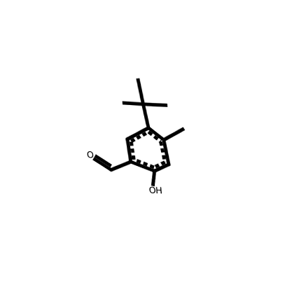 Cc1cc(O)c(C=O)cc1C(C)(C)C